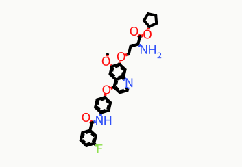 COc1cc2c(Oc3ccc(NC(=O)c4cccc(F)c4)cc3)ccnc2cc1OCCC(N)C(=O)OC1CCCC1